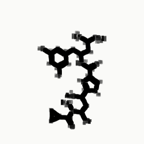 CC(=O)OC(CC(C(C)C)N(C)C(=O)C1CC1)c1nc(C(=O)NC(Cc2cc(F)cc(F)c2)CC(C)C(=O)O)cs1